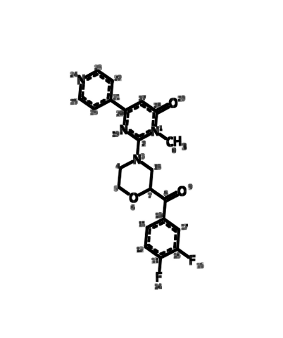 Cn1c(N2CCOC(C(=O)c3ccc(F)c(F)c3)C2)nc(-c2ccncc2)cc1=O